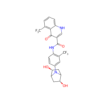 O=C(Nc1ccc(N2C3C[C@H](O)C2C[C@@H]3O)cc1C(F)(F)F)c1c[nH]c2cccc(C(F)(F)F)c2c1=O